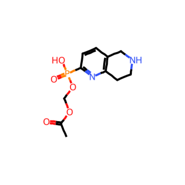 CC(=O)OCOP(=O)(O)c1ccc2c(n1)CCNC2